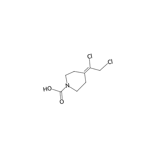 O=C(O)N1CCC(=C(Cl)CCl)CC1